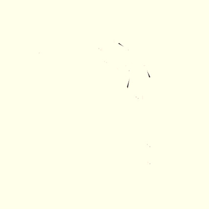 O=C(NCCCn1cccn1)[C@H]1[C@H](C(=O)Nc2ccc(Br)cc2)[C@@H]2C=C[C@H]1C21CC1